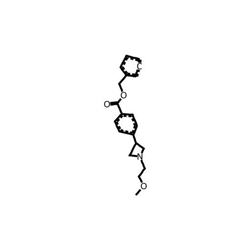 COCCN1CC(c2ccc(C(=O)OCc3ccccc3)cc2)C1